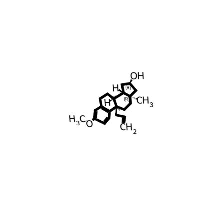 C=CC[C@]12CC[C@]3(C)C[C@H](O)C[C@H]3[C@@H]1CCc1cc(OC)ccc12